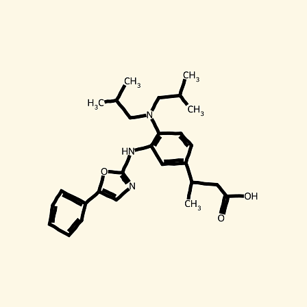 CC(C)CN(CC(C)C)c1ccc(C(C)CC(=O)O)cc1Nc1ncc(-c2ccccc2)o1